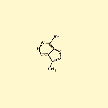 Cc1csc2c(C(C)C)nncc12